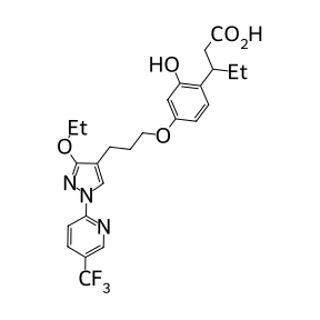 CCOc1nn(-c2ccc(C(F)(F)F)cn2)cc1CCCOc1ccc(C(CC)CC(=O)O)c(O)c1